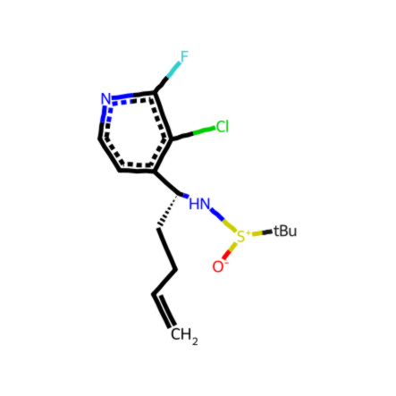 C=CCC[C@@H](N[S+]([O-])C(C)(C)C)c1ccnc(F)c1Cl